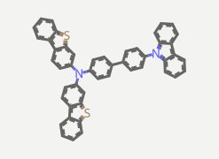 c1ccc2c(c1)sc1cc(N(c3ccc(-c4ccc(-n5c6ccccc6c6ccccc65)cc4)cc3)c3ccc4c(c3)sc3ccccc34)ccc12